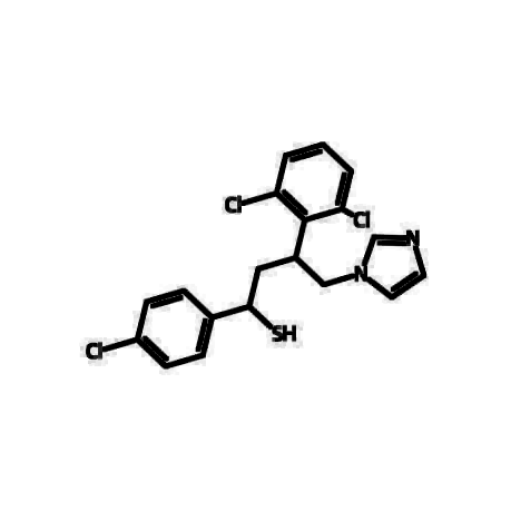 SC(CC(Cn1ccnc1)c1c(Cl)cccc1Cl)c1ccc(Cl)cc1